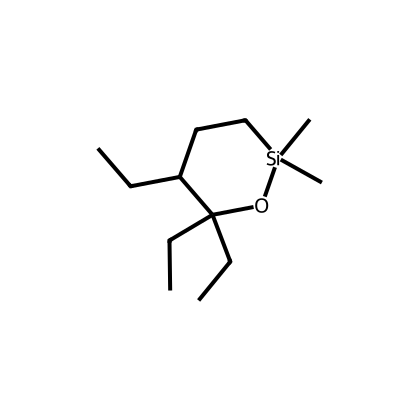 CCC1CC[Si](C)(C)OC1(CC)CC